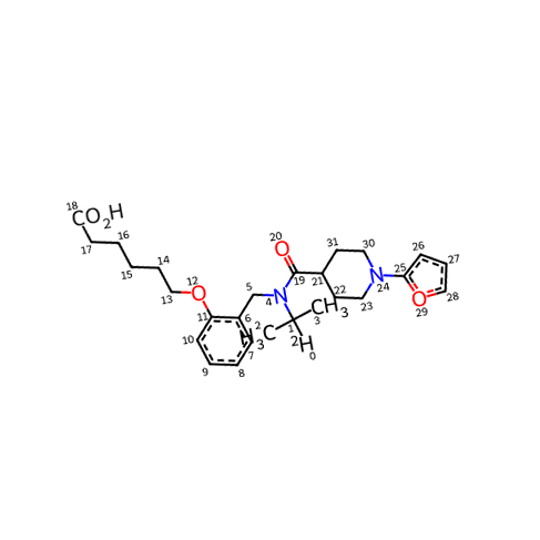 [2H]C(C)(C)N(Cc1ccccc1OCCCCCC(=O)O)C(=O)C1CCN(c2ccco2)CC1